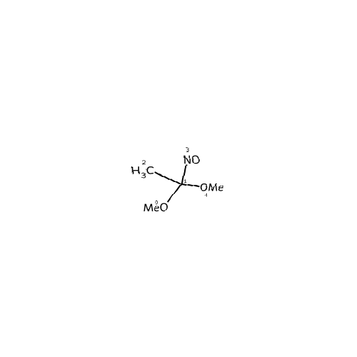 COC(C)(N=O)OC